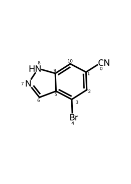 N#Cc1cc(Br)c2cn[nH]c2c1